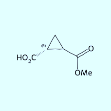 COC(=O)C1C[C@H]1C(=O)O